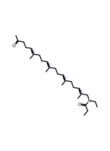 CCC(=O)N(CC)C/C(C)=C/CC/C(C)=C/CC/C(C)=C/CC/C(C)=C/CCC(C)=O